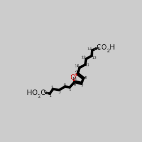 O=C(O)CCCCCc1ccc(CCCCCC(=O)O)o1